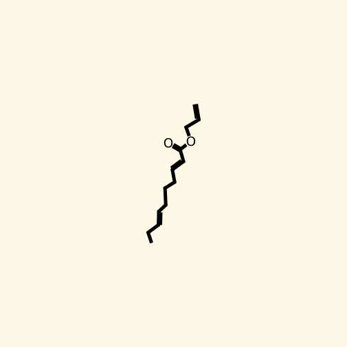 C=CCOC(=O)C=CCCCC=CCC